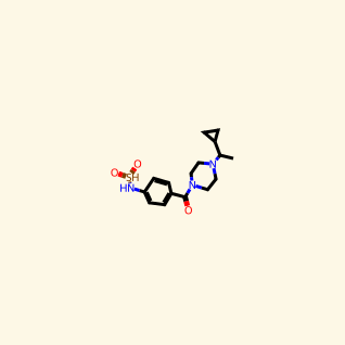 CC(C1CC1)N1CCN(C(=O)c2ccc(N[SH](=O)=O)cc2)CC1